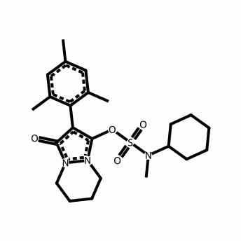 Cc1cc(C)c(-c2c(OS(=O)(=O)N(C)C3CCCCC3)n3n(c2=O)CCCC3)c(C)c1